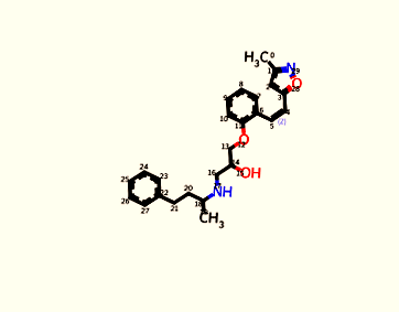 Cc1cc(/C=C\c2ccccc2OCC(O)CNC(C)CCc2ccccc2)on1